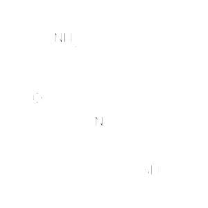 NC(=O)c1cccc(S)n1